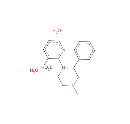 CN1CCN(c2ncccc2C(=O)O)C(c2ccccc2)C1.O.O